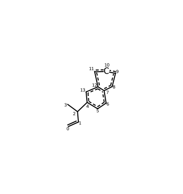 C=CC(C)c1ccc2ccccc2c1